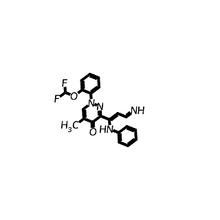 Cc1cn(-c2ccccc2OC(F)F)nc(/C(=C/C=N)Nc2ccccc2)c1=O